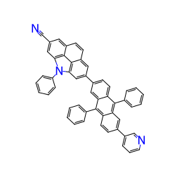 N#Cc1cc2ccc3cc(-c4ccc5c(-c6ccccc6)c6cc(-c7cccnc7)ccc6c(-c6ccccc6)c5c4)cc4c3c2c(c1)n4-c1ccccc1